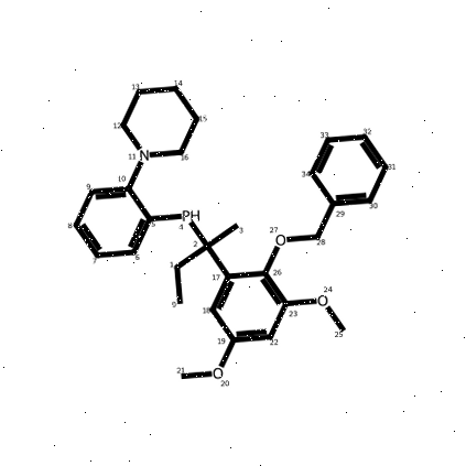 CCC(C)(Pc1ccccc1N1CCCCC1)c1cc(OC)cc(OC)c1OCc1ccccc1